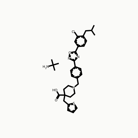 CC(C)(C)N.CC(C)Cc1ccc(-c2nc(-c3ccc(CN4CCC(Cc5cccs5)(C(=O)O)CC4)cc3)no2)cc1Cl